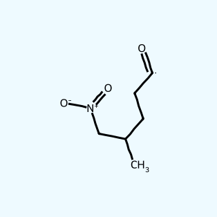 CC(CC[C]=O)C[N+](=O)[O-]